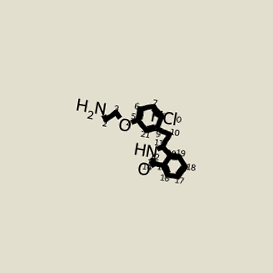 Cl.NCCOc1cccc(CC2NC(=O)c3ccccc32)c1